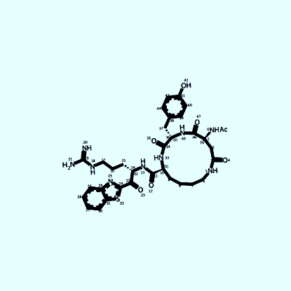 CC(=O)N[C@H]1CC(=O)NCCCC[C@@H](C(=O)N[C@@H](CCCNC(=N)N)C(=O)c2nc3ccccc3s2)NC(=O)[C@H](Cc2ccc(O)cc2)NC1=O